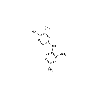 Cc1cc(Nc2ccc(N)cc2N)ccc1O